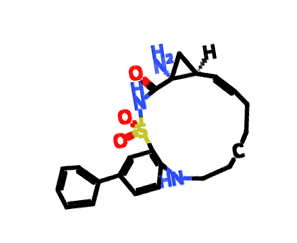 N[C@]12C[C@H]1/C=C\CCCCCNc1ccc(-c3ccccc3)cc1S(=O)(=O)NC2=O